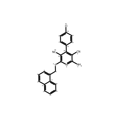 N#Cc1c(N)nc(SCc2cccc3ccccc23)c(C#N)c1-c1ccc(Cl)cc1